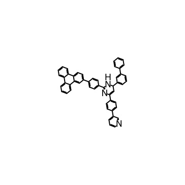 C1=C(c2ccc(-c3cccnc3)cc2)N=C(c2ccc(-c3ccc4c5ccccc5c5ccccc5c4c3)cc2)NC1c1cccc(-c2ccccc2)c1